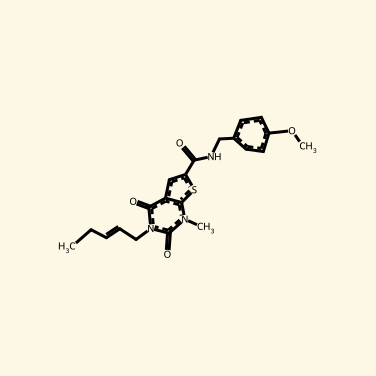 CCC=CCn1c(=O)c2cc(C(=O)NCc3ccc(OC)cc3)sc2n(C)c1=O